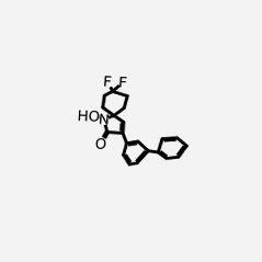 O=C1C(c2cccc(-c3ccccc3)c2)=CC2(CCC(F)(F)CC2)N1O